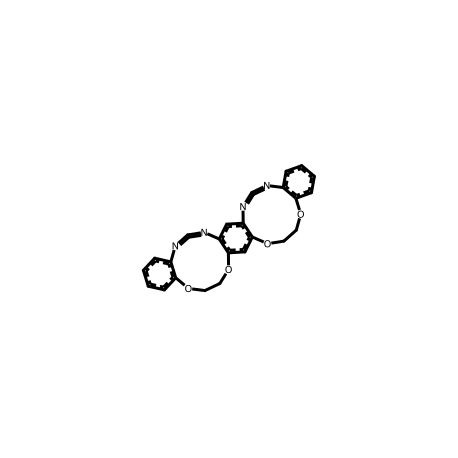 C1=Nc2ccccc2OCCOc2cc3c(cc2N=1)N=C=Nc1ccccc1OCCO3